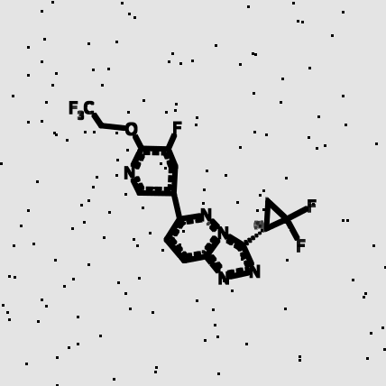 Fc1cc(-c2ccc3nnc([C@@H]4CC4(F)F)n3n2)cnc1OCC(F)(F)F